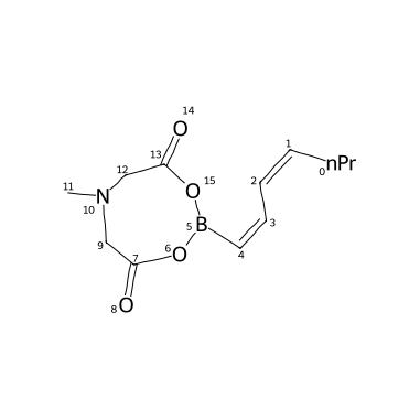 CCC/C=C\C=C/B1OC(=O)CN(C)CC(=O)O1